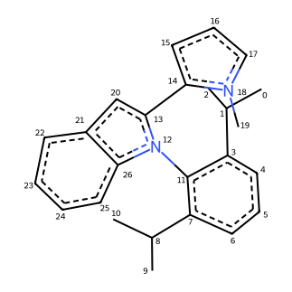 CC(C)c1cccc(C(C)C)c1-n1c(-c2cccn2C)cc2ccccc21